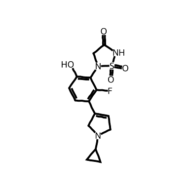 O=C1CN(c2c(O)ccc(C3=CCN(C4CC4)C3)c2F)S(=O)(=O)N1